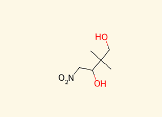 CC(C)(CO)C(O)C[N+](=O)[O-]